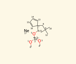 C[O][Ti-2]([O]C)[O]CC1(CC(C)(C)C)C=CC=C1.[Ne]